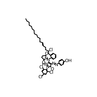 CCCCCCCCCCCCC=CCCC(Cl)Cc1ccccc1N(c1[nH]n(-c2c(Cl)cc(Cl)cc2Cl)c(=O)c1N=Nc1ccc(O)cc1)N1C(=O)CCC1=O